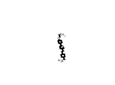 CCCOc1ccc(-c2ccc(CCC3CCC(CC)CC3)cn2)cc1